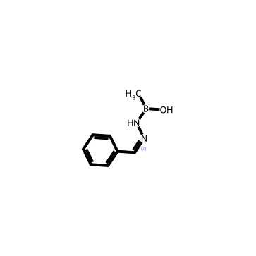 CB(O)N/N=C\c1ccccc1